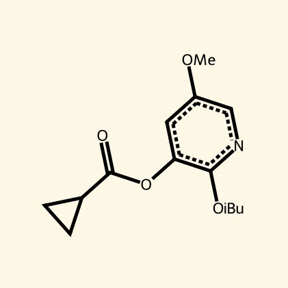 COc1cnc(OCC(C)C)c(OC(=O)C2CC2)c1